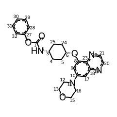 O=C(N[C@H]1CC[C@@H](Oc2cc(N3CCOCC3)cc3nccnc23)CC1)Oc1ccccc1